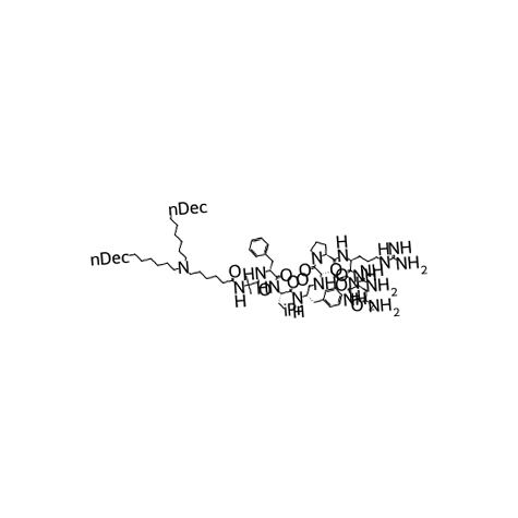 CCCCCCCCCCCCCCCCN(CCCCCCCCCCCCCCCC)CCCCCC(=O)NC(C)(C)C(=O)N[C@@H](Cc1ccccc1)C(=O)N[C@@H](CC(C)C)C(=O)N[C@@H](Cc1ccccc1)C(=O)N[C@@H](CCCNC(=N)N)C(=O)N1CCC[C@H]1C(=O)N[C@@H](CCCNC(=N)N)C(=O)N[C@@H](CC(N)=O)C(N)=O